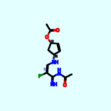 CC(=O)NC(=N)/C(F)=C\N[C@H]1C=C[C@@H](OC(C)=O)C1